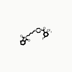 O=C(c1cc(F)ccc1C(F)(F)F)N1CCN(CCCCCN2C(=O)c3ccccc3C2=O)CC1